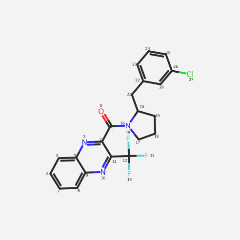 O=C(c1nc2ccccc2nc1C(F)(F)F)N1CCCC1Cc1cccc(Cl)c1